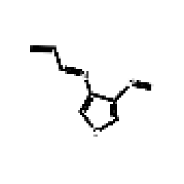 C=CC=Nc1cscc1N=C